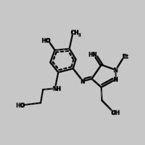 CCN1N=C(CO)C(=Nc2cc(C)c(O)cc2NCCO)C1=N